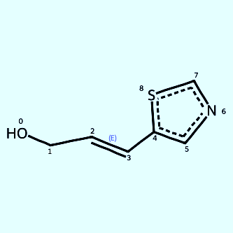 OC/C=C/c1cncs1